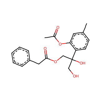 CC(=O)Oc1cc(C)ccc1C(O)(CO)COC(=O)Cc1ccccc1